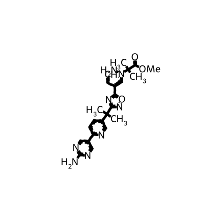 C=C/C(=C\N(N)C(C)(C)C(=O)OC)c1nc(C(C)(C)c2ccc(-c3cnc(N)nc3)nc2)no1